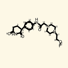 O=C1CCC(c2ccc(NC(=O)CN3CCN(CCOF)CC3)cc2)C(=O)N1